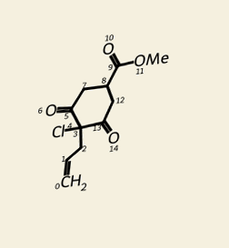 C=CCC1(Cl)C(=O)CC(C(=O)OC)CC1=O